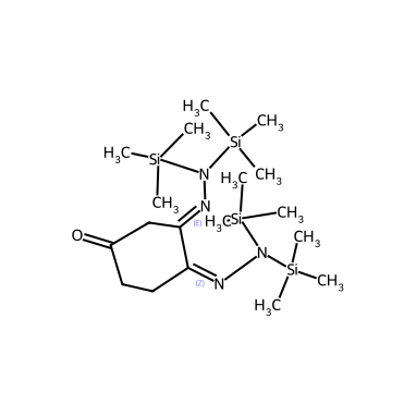 C[Si](C)(C)N(/N=C1/CCC(=O)C/C1=N\N([Si](C)(C)C)[Si](C)(C)C)[Si](C)(C)C